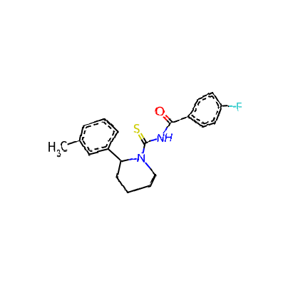 Cc1cccc(C2CCCCN2C(=S)NC(=O)c2ccc(F)cc2)c1